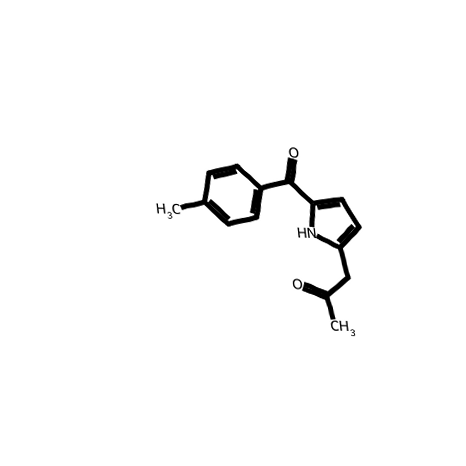 CC(=O)Cc1ccc(C(=O)c2ccc(C)cc2)[nH]1